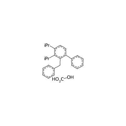 CC(C)c1ccc(-c2ccccc2)c(Cc2ccccc2)c1C(C)C.O=C(O)O